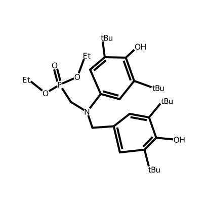 CCOP(=O)(CN(Cc1cc(C(C)(C)C)c(O)c(C(C)(C)C)c1)c1cc(C(C)(C)C)c(O)c(C(C)(C)C)c1)OCC